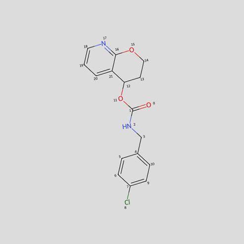 O=C(NCc1ccc(Cl)cc1)OC1CCOc2ncccc21